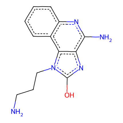 NCCCn1c(O)nc2c(N)nc3ccccc3c21